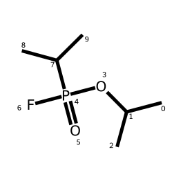 CC(C)OP(=O)(F)C(C)C